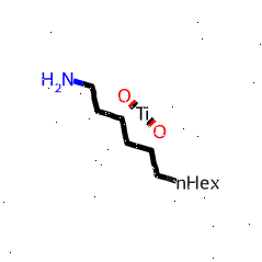 CCCCCCCCCCCCN.[O]=[Ti]=[O]